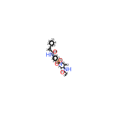 C=CC(=O)NC1CCN(S(=O)(=O)c2ccc(NC(=O)C3CC3c3ccccc3)cc2)CC1C